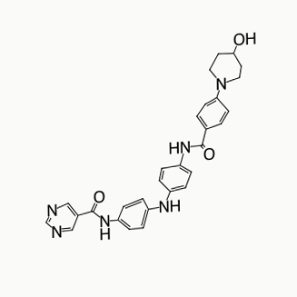 O=C(Nc1ccc(Nc2ccc(NC(=O)c3cncnc3)cc2)cc1)c1ccc(N2CCC(O)CC2)cc1